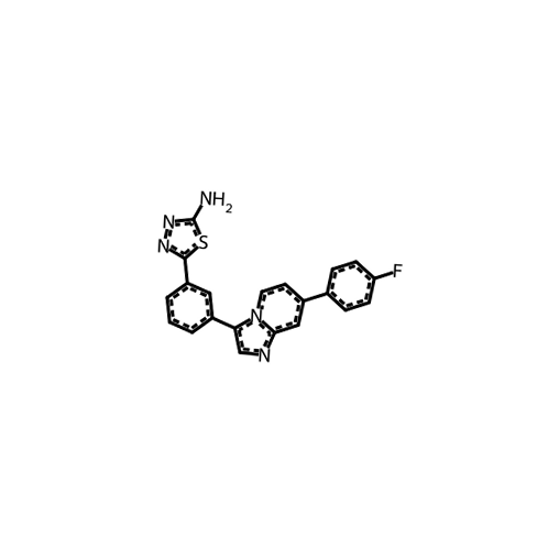 Nc1nnc(-c2cccc(-c3cnc4cc(-c5ccc(F)cc5)ccn34)c2)s1